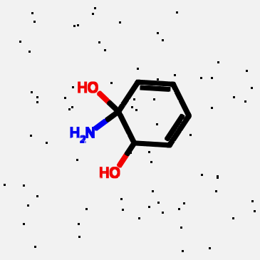 NC1(O)C=CC=CC1O